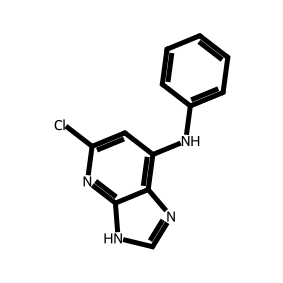 Clc1cc(Nc2ccccc2)c2nc[nH]c2n1